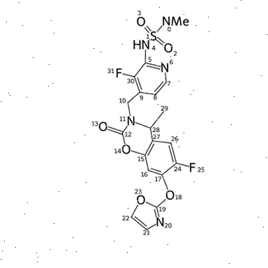 CNS(=O)(=O)Nc1nccc(CN2C(=O)Oc3cc(Oc4ncco4)c(F)cc3C2C)c1F